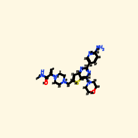 C=C(C(=O)NC)N1CCN(Cc2cc3nc(-c4ccc(N)nc4)nc(N4CCOCC4)c3s2)CC1